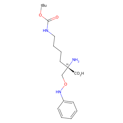 CC(C)(C)OC(=O)NCCCC[C@](N)(CONc1ccccc1)C(=O)O